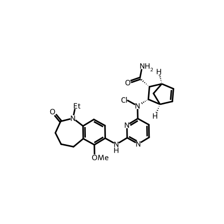 CCN1C(=O)CCCc2c1ccc(Nc1nccc(N(Cl)[C@@H]3[C@H](C(N)=O)[C@H]4C=C[C@@H]3C4)n1)c2OC